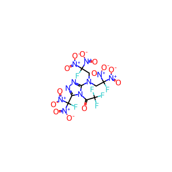 O=C(n1c(N(CC(F)([N+](=O)[O-])[N+](=O)[O-])CC(F)([N+](=O)[O-])[N+](=O)[O-])nnc1C(F)([N+](=O)[O-])[N+](=O)[O-])C(F)(F)F